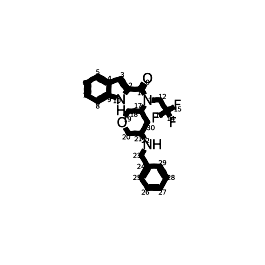 O=C(c1cc2ccccc2[nH]1)N(CC(F)(F)F)C1COCC(NCc2ccccc2)C1